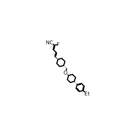 CCc1ccc([C@H]2CC[C@H](OC[C@H]3CC[C@H](/C=C/C=C(\F)C#N)CC3)CC2)cc1